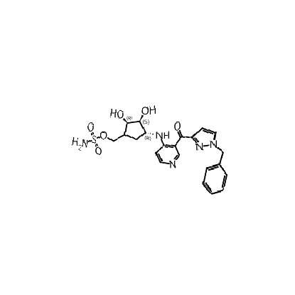 NS(=O)(=O)OCC1C[C@@H](Nc2ccncc2C(=O)c2ccn(Cc3ccccc3)n2)[C@H](O)[C@@H]1O